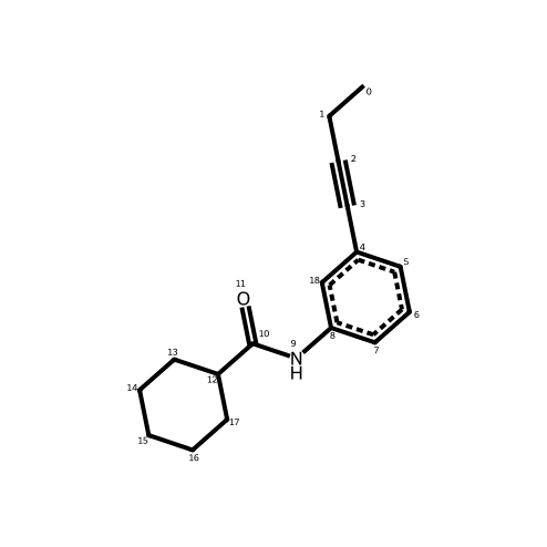 CCC#Cc1cccc(NC(=O)C2CCCCC2)c1